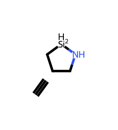 C#C.C1CN[SiH2]C1